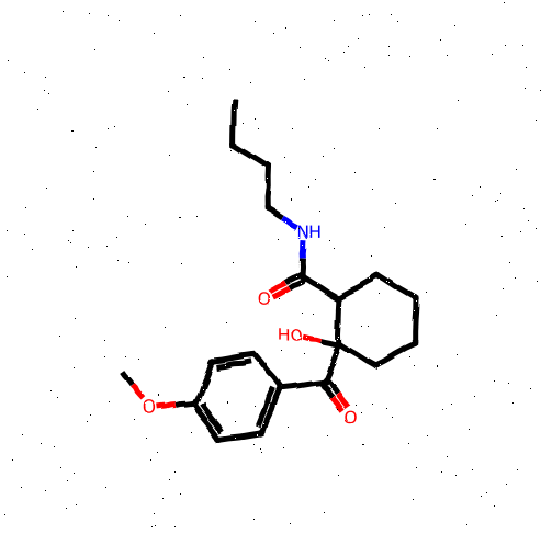 CCCCNC(=O)C1CCCCC1(O)C(=O)c1ccc(OC)cc1